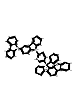 c1ccc([Si](c2ccccc2)(c2ccc(-n3c4ccccc4c4cc(-n5c6ccccc6c6ccccc65)ccc43)nc2)c2cccc3c2oc2ccccc23)cc1